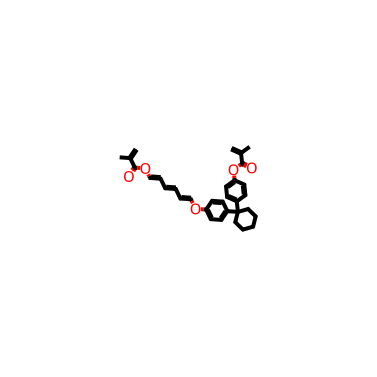 C=C(C)C(=O)O/C=C/C=C/C=C/Oc1ccc(C2(c3ccc(OC(=O)C(=C)C)cc3)CCCCC2)cc1